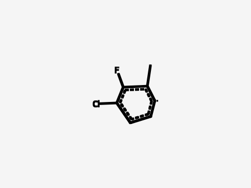 Cc1[c]ccc(Cl)c1F